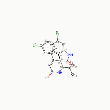 C=C(C)[C@H]1NC(=O)C=C(c2cccc(Cl)c2)[C@]12C(=O)Nc1cc(Cl)ccc12